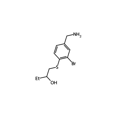 CCC(O)CSc1ccc(CN)cc1Br